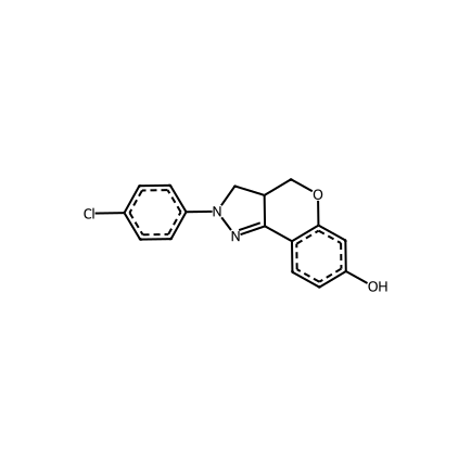 Oc1ccc2c(c1)OCC1CN(c3ccc(Cl)cc3)N=C21